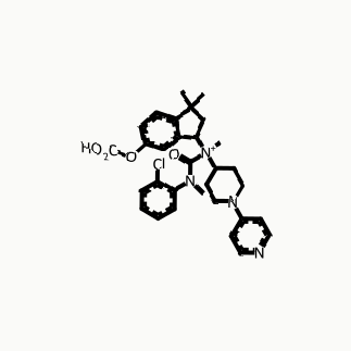 CN(C(=O)[N+](C)(C1CCN(c2ccncc2)CC1)C1CC(C)(C)c2ccc(OC(=O)O)cc21)c1ccccc1Cl